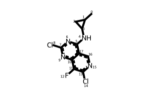 CC1CC1Nc1nc(Cl)nc2c(F)c(Cl)ncc12